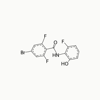 O=C(Nc1c(O)cccc1F)c1c(F)cc(Br)cc1F